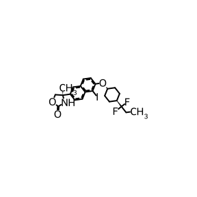 CCC(F)(F)[C@H]1CC[C@H](Oc2ccc3cc([C@]4(C)COC(=O)N4)ccc3c2I)CC1